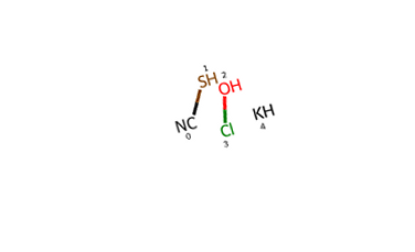 N#CS.OCl.[KH]